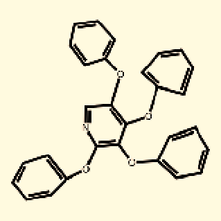 c1ccc(Oc2cnc(Oc3ccccc3)c(Oc3ccccc3)c2Oc2ccccc2)cc1